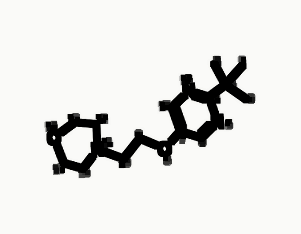 CC(C)(C)c1ncc(OCCN2CCOCC2)cn1